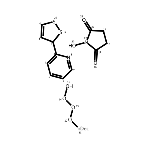 C1=CC(c2ccccn2)SS1.CCCCCCCCCCOOOO.O=C1CCC(=O)N1O